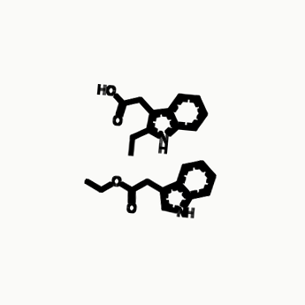 CCOC(=O)Cc1c[nH]c2ccccc12.CCc1[nH]c2ccccc2c1CC(=O)O